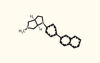 CN1C[C@H]2CCN(c3ccc(-c4ccc5ccccc5c4)cc3)[C@H]2C1